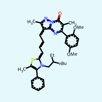 CCCCC(CC)CN1C(c2ccccc2)=C(C)S\C1=C/C=C/C=c1/c(C)nn2c(=O)c(C)c(-c3cc(OC)ccc3OC)nc12